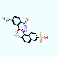 Cc1ccc([N+](=O)[O-])c(C(=O)Nc2c(O)ccc3cc(S(=O)(=O)O)ccc23)c1